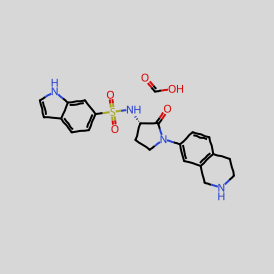 O=C1[C@@H](NS(=O)(=O)c2ccc3cc[nH]c3c2)CCN1c1ccc2c(c1)CNCC2.O=CO